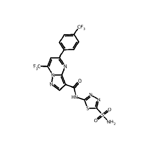 NS(=O)(=O)c1nnc(NC(=O)c2cnn3c(C(F)(F)F)cc(-c4ccc(C(F)(F)F)cc4)nc23)s1